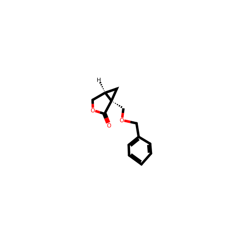 O=C1OC[C@H]2C[C@@]12COCc1ccccc1